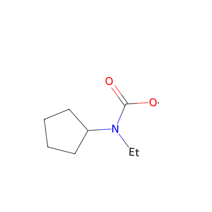 CCN(C([O])=O)C1CCCC1